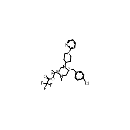 C[C@H](OC(=O)C(F)(F)F)[C@H]1CN(C2CCN(c3ccccn3)CC2)[C@@H](Cc2ccc(Cl)cc2)CN1C